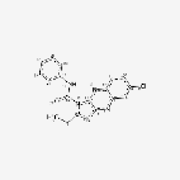 CCc1nc2nc3cc(Cl)ccc3nc2n1C(=O)Nc1ccccc1